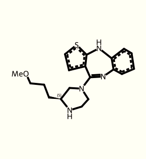 COCCC[C@H]1CN(C2=Nc3ccccc3Nc3sccc32)CCN1